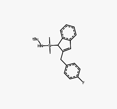 CC(C)(C)N[Si](C)(C)C1C(Cc2ccc(F)cc2)=Cc2ccccc21